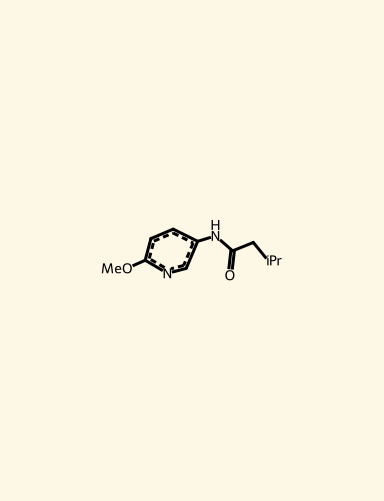 COc1ccc(NC(=O)CC(C)C)cn1